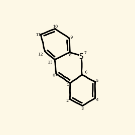 [C]1=C2C=CC=CC2Sc2ccccc21